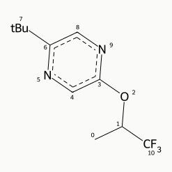 CC(Oc1cnc(C(C)(C)C)cn1)C(F)(F)F